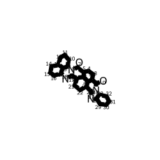 O=c1c2ccc3c(=O)n4c5cccc6cccc(nc4c4ccc(c2c34)c2nc3ccccc3n12)c65